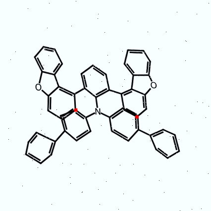 c1ccc(-c2ccc(N(c3ccc(-c4ccccc4)cc3)c3c(-c4cccc5oc6ccccc6c45)cccc3-c3cccc4oc5ccccc5c34)cc2)cc1